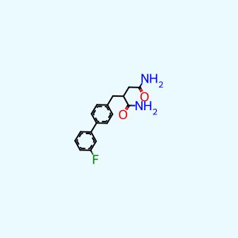 NC(=O)CC(Cc1ccc(-c2cccc(F)c2)cc1)C(N)=O